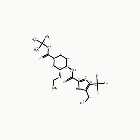 CCO[C@H]1CN(C(=O)OC(C)(C)C)CC[C@H]1NC(=O)c1nc(C(F)(F)F)c(CC)[nH]1